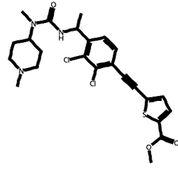 COC(=O)c1ccc(C#Cc2ccc(C(C)NC(=O)N(C)C3CCN(C)CC3)c(Cl)c2Cl)s1